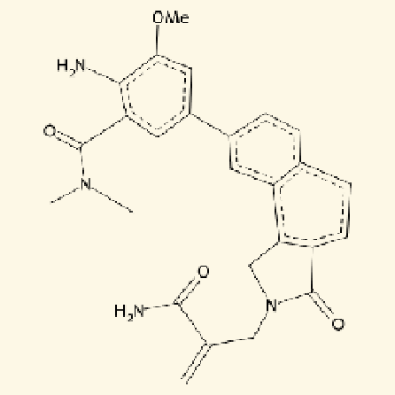 C=C(CN1Cc2c(ccc3ccc(-c4cc(OC)c(N)c(C(=O)N(C)C)c4)cc23)C1=O)C(N)=O